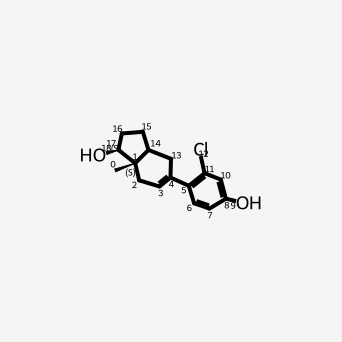 C[C@]12CC=C(c3ccc(O)cc3Cl)CC1CC[C@@H]2O